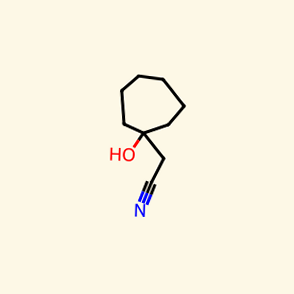 N#CCC1(O)CCCCCC1